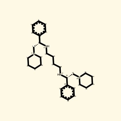 c1ccc([C@@H](CN2CCCCC2)NCCCCN[C@H](CN2CCCCC2)c2ccccc2)cc1